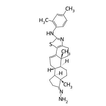 Cc1ccc(Nc2nc3c(s2)C2=CC[C@@H]4[C@H](CC[C@]5(C)/C(=N/N)CC[C@@H]45)[C@@]2(C)CC3)c(C)c1